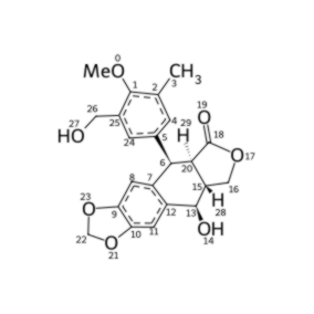 COc1c(C)cc([C@@H]2c3cc4c(cc3[C@H](O)[C@H]3COC(=O)[C@H]23)OCO4)cc1CO